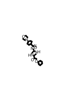 O=C(COc1ccccc1)C1CN[C@@H](c2nc(-c3ccc(N4CCOCC4)cc3)no2)CN1